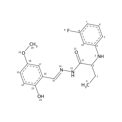 CCC(Nc1cccc(F)c1)C(=O)NN=Cc1cc(OC)ccc1O